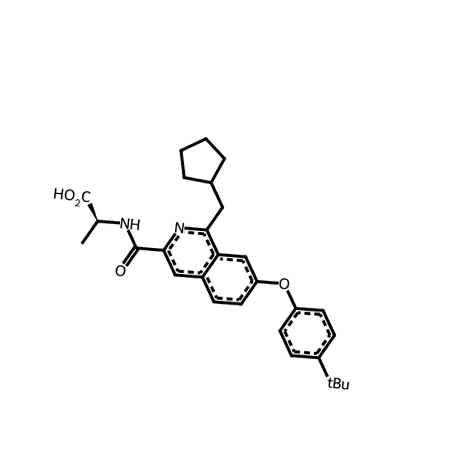 C[C@H](NC(=O)c1cc2ccc(Oc3ccc(C(C)(C)C)cc3)cc2c(CC2CCCC2)n1)C(=O)O